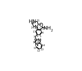 NC(=O)c1ccc(Cc2cn3ccccc3n2)cc1N1CCNCC1